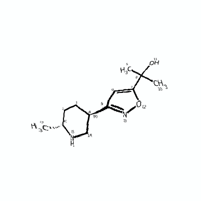 C[C@@H]1CC[C@@H](c2cc(C(C)(C)O)on2)CN1